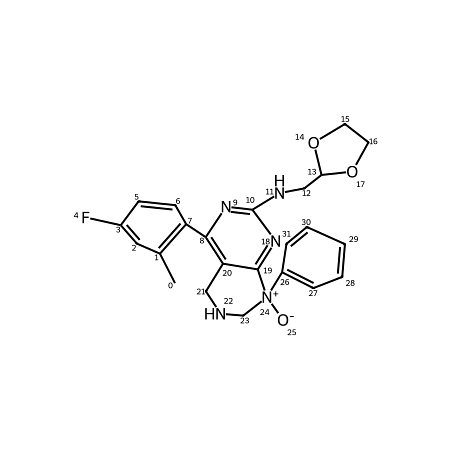 Cc1cc(F)ccc1-c1nc(NCC2OCCO2)nc2c1CNC[N+]2([O-])c1ccccc1